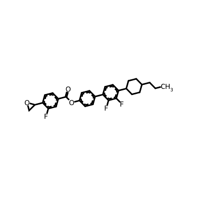 CCCC1CCC(c2ccc(-c3ccc(OC(=O)c4ccc(C5CO5)c(F)c4)cc3)c(F)c2F)CC1